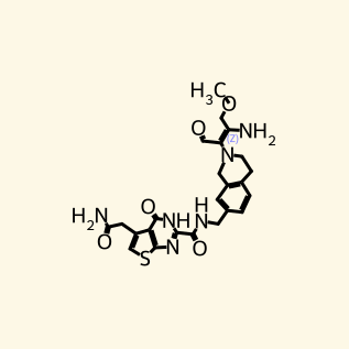 COC/C(N)=C(\C=O)N1CCc2ccc(CNC(=O)c3nc4scc(CC(N)=O)c4c(=O)[nH]3)cc2C1